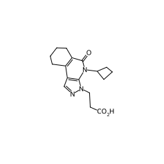 O=C(O)CCn1ncc2c3c(c(=O)n(C4CCC4)c21)CCCC3